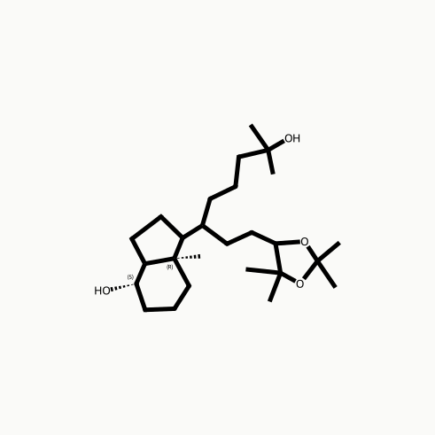 CC(C)(O)CCCC(CCC1OC(C)(C)OC1(C)C)C1CCC2[C@@H](O)CCC[C@]12C